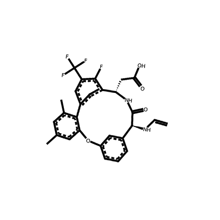 C=CN[C@@H]1C(=O)N[C@@H](CC(=O)O)c2cc(cc(C(F)(F)F)c2F)-c2c(C)cc(C)cc2Oc2cccc1c2